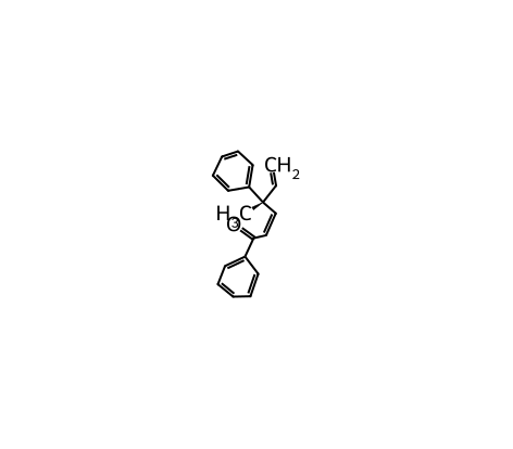 C=C[C@](C)(/C=C\C(=O)c1ccccc1)c1ccccc1